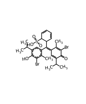 CC1=C(Br)C(=O)C(C(C)C)=C/C1=C(\c1cc(C(C)C)c(O)c(Br)c1C)C1C=CC=CC1S(=O)(=O)O